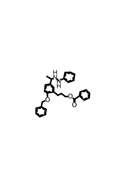 CC(NNc1ccccc1)c1ccc(OCc2ccccc2)c(CCCOC(=O)c2ccccc2)c1